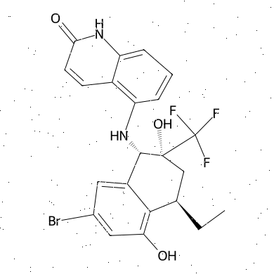 CC[C@@H]1C[C@](O)(C(F)(F)F)[C@@H](Nc2cccc3[nH]c(=O)ccc23)c2cc(Br)cc(O)c21